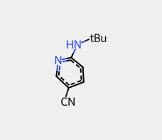 CC(C)(C)Nc1ccc(C#N)cn1